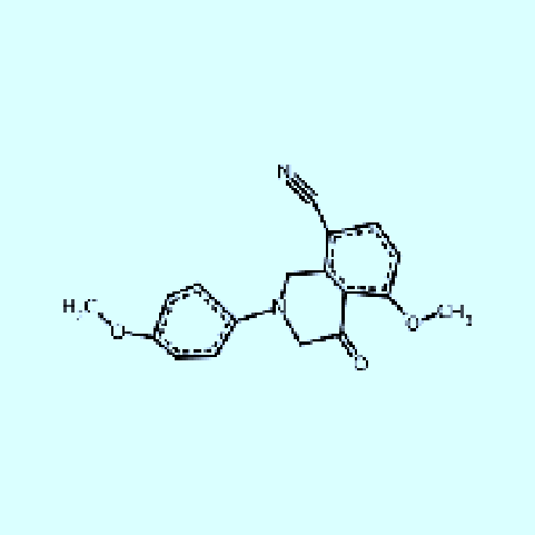 COc1ccc(N2CC(=O)c3c(OC)ccc(C#N)c3C2)cc1